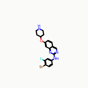 Fc1cc(Nc2ncc3ccc(OC4CCNCC4)cc3n2)ccc1Br